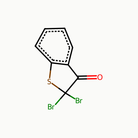 O=C1c2ccccc2SC1(Br)Br